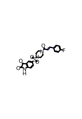 O=C1Nc2ccc(S(=O)(=O)N3CCN(C(=O)/C=C/c4ccc(F)cc4)CC3)cc2C1=O